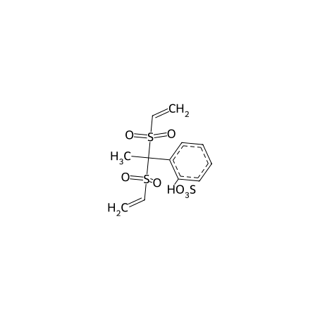 C=CS(=O)(=O)C(C)(c1ccccc1S(=O)(=O)O)S(=O)(=O)C=C